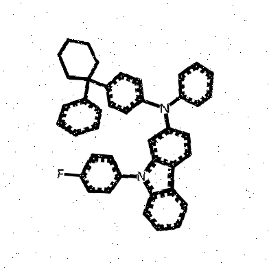 Fc1ccc(-n2c3ccccc3c3ccc(N(c4ccccc4)c4ccc(C5(c6ccccc6)CCCCC5)cc4)cc32)cc1